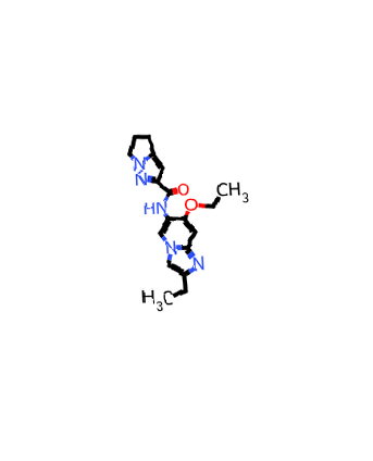 CCOc1cc2nc(CC)cn2cc1NC(=O)c1cc2n(n1)CCC2